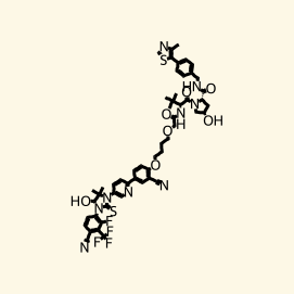 Cc1ncsc1-c1ccc(CNC(=O)[C@@H]2C[C@@H](O)CN2C(=O)[C@@H](NC(=O)COCCCCOc2ccc(-c3ccc(N4C(=S)N(c5ccc(C#N)c(C(F)(F)F)c5F)C(O)C4(C)C)cn3)cc2C#N)C(C)(C)C)cc1